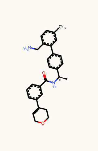 C[C@@H](NC(=O)c1cccc(C2=CCOCC2)c1)c1ccc(-c2cc(C(F)(F)F)ccc2CN)cc1